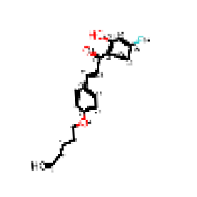 C#CCCCCOc1ccc(C=CC(=O)c2ccc(F)cc2O)cc1